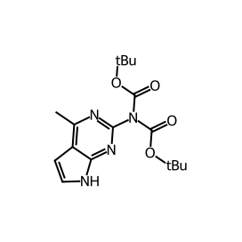 Cc1nc(N(C(=O)OC(C)(C)C)C(=O)OC(C)(C)C)nc2[nH]ccc12